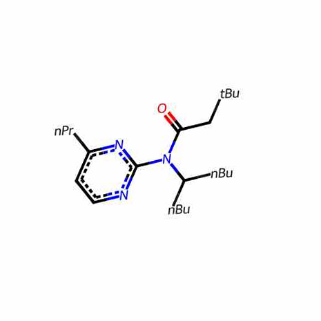 CCCCC(CCCC)N(C(=O)CC(C)(C)C)c1nccc(CCC)n1